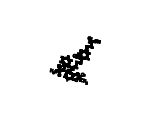 CS(=O)(=O)Oc1ccccc1C(=CCSc1ccc(OCC(=O)O)cc1Cl)c1ccccc1OS(C)(=O)=O